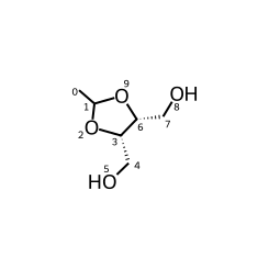 CC1O[C@@H](CO)[C@@H](CO)O1